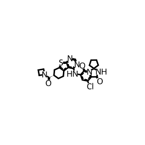 O=C1NC2(CCCC2)n2c1c(Cl)cc(Nc1ncnc3sc4c(c13)CC[C@H](C(=O)N1CCC1)C4)c2=O